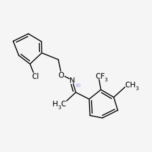 C/C(=N\OCc1ccccc1Cl)c1cccc(C)c1C(F)(F)F